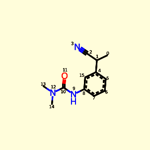 CC(C#N)c1cccc(NC(=O)N(C)C)c1